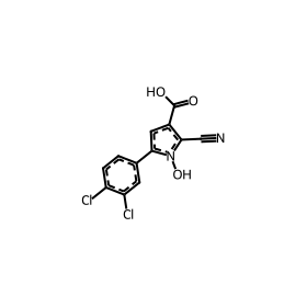 N#Cc1c(C(=O)O)cc(-c2ccc(Cl)c(Cl)c2)n1O